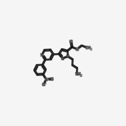 CCOC(=O)c1cc(-c2ccnc(-c3cccc([N+](=O)[O-])c3)c2)nn1CCCN